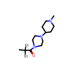 CCC(C)(CC)C(=O)N1CCN(C2CCN(C)CC2)CC1